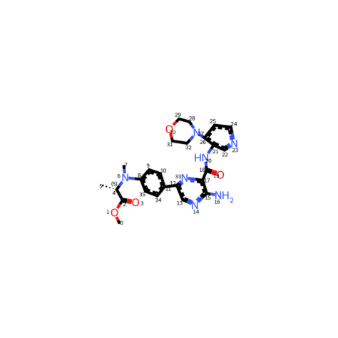 COC(=O)[C@H](C)N(C)c1ccc(-c2cnc(N)c(C(=O)Nc3cnccc3N3CCOCC3)n2)cc1